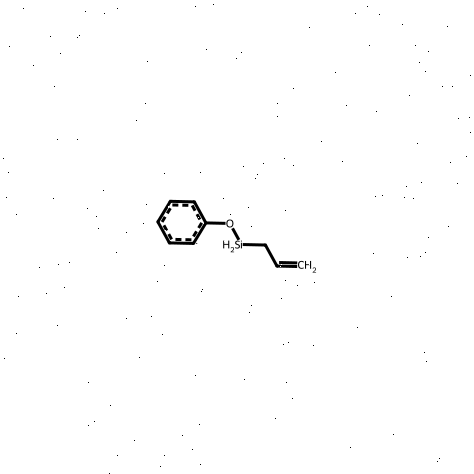 C=CC[SiH2]Oc1[c]cccc1